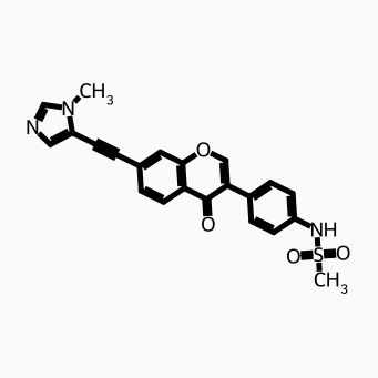 Cn1cncc1C#Cc1ccc2c(=O)c(-c3ccc(NS(C)(=O)=O)cc3)coc2c1